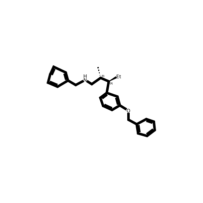 CC[C@@H](c1cccc(OCc2ccccc2)c1)[C@@H](C)CNCc1ccccc1